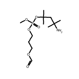 COP(=O)(OCCCOC=O)OC(C)(C)CC(C)(C)N